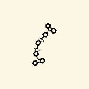 c1ccc2c(c1)c1ccccc1n2-c1ccc(-c2nc3ccc(-c4nc5ccc(-n6c7ccccc7c7ccccc76)cc5o4)cc3o2)cc1